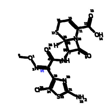 CO/N=C(\C(=O)N[C@@H]1C(=O)N2C(C(=O)O)=CCS[C@H]12)c1nc(N)sc1Cl